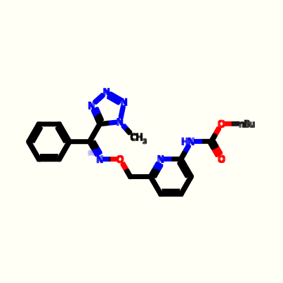 CCCCOC(=O)Nc1cccc(CO/N=C(/c2ccccc2)c2nnnn2C)n1